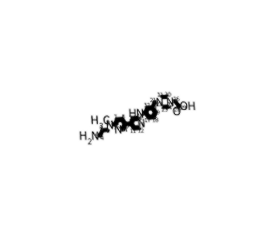 CN(CCCN)c1ccc(-c2ccnc(Nc3cccc(CN4CCN(CC(=O)O)CC4)c3)c2)cn1